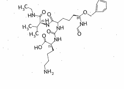 CCNC(=O)[C@@H](NC(=O)C(CCC[C@H](NC=O)OCc1ccccc1)NC(=O)N[C@@H](CCCCN)C(=O)O)C(C)C